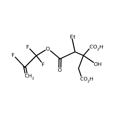 C=C(F)C(F)(F)OC(=O)C(CC)C(O)(CC(=O)O)C(=O)O